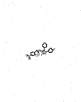 Cn1nc(-c2ccc(F)cc2)c(-c2ccncc2)c1NC(=O)Cc1ccc([N+](=O)[O-])cc1Cl